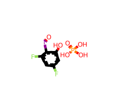 O=Ic1c(O)cc(F)cc1F.O=P(O)(O)O